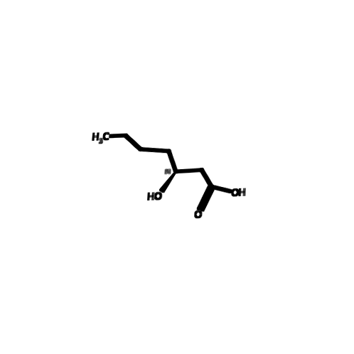 CCCC[C@H](O)CC(=O)O